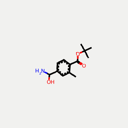 Cc1cc(C(N)O)ccc1C(=O)OC(C)(C)C